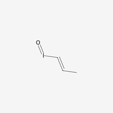 C/C=C/I=O